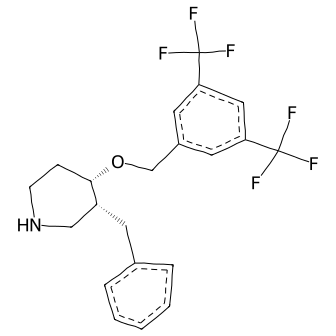 FC(F)(F)c1cc(CO[C@H]2CCNC[C@H]2Cc2ccccc2)cc(C(F)(F)F)c1